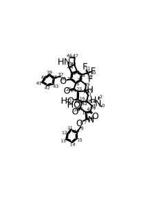 CN(C)[C@@H]1c2onc(OCc3ccccc3)c2C(=O)[C@@]2(O)C(O)=C3C(=O)c4c(c(C(F)(F)F)c5c(c4OCc4ccccc4)C4NCCC54)C[C@H]3C[C@@H]12